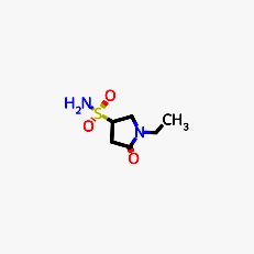 CCN1CC(S(N)(=O)=O)CC1=O